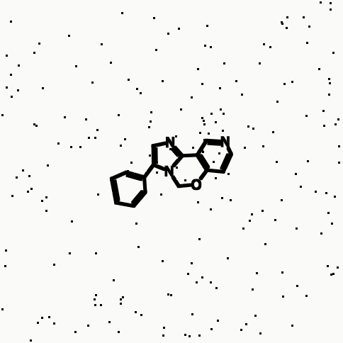 c1ccc(-c2cnc3n2COc2ccncc2-3)cc1